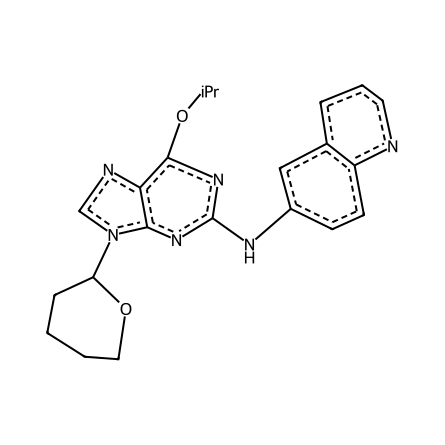 CC(C)Oc1nc(Nc2ccc3ncccc3c2)nc2c1ncn2C1CCCCO1